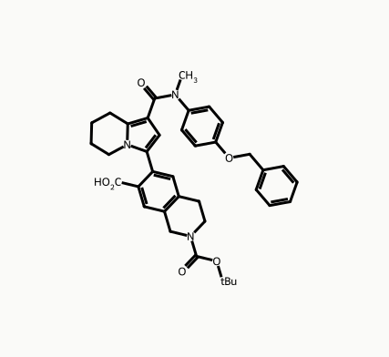 CN(C(=O)c1cc(-c2cc3c(cc2C(=O)O)CN(C(=O)OC(C)(C)C)CC3)n2c1CCCC2)c1ccc(OCc2ccccc2)cc1